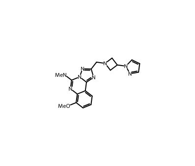 CNc1nc2c(OC)cccc2c2nc(CN3CC(n4cccn4)C3)nn12